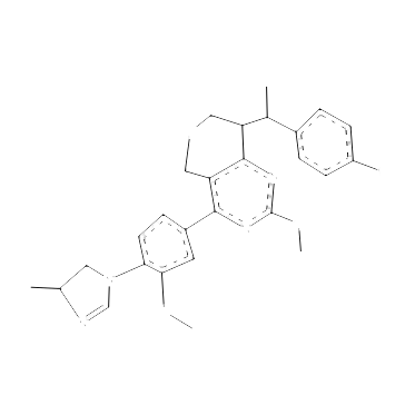 COc1nc(-c2ccc(N3C=NC(C)C3)c(OC)c2)c2c(n1)C(C(C)c1ccc(F)cc1)COC2